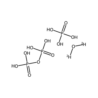 O=P(O)(O)O.O=P(O)(O)OP(=O)(O)O.[2H]O[2H]